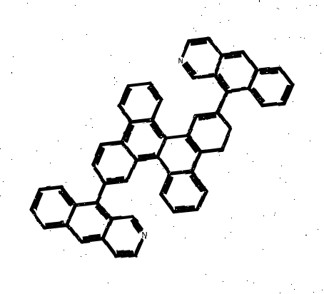 C1=C(c2c3ccccc3cc3ccncc23)CCc2c1c1c3ccccc3c3ccc(-c4c5ccccc5cc5ccncc45)cc3c1c1ccccc21